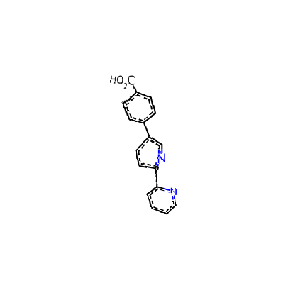 O=C(O)c1ccc(-c2ccc(-c3ccccn3)nc2)cc1